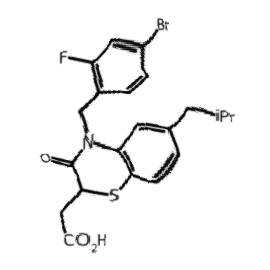 CC(C)Cc1ccc2c(c1)N(Cc1ccc(Br)cc1F)C(=O)C(CC(=O)O)S2